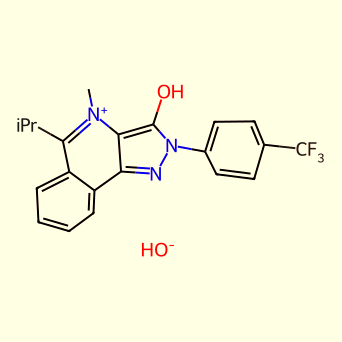 CC(C)c1c2ccccc2c2nn(-c3ccc(C(F)(F)F)cc3)c(O)c2[n+]1C.[OH-]